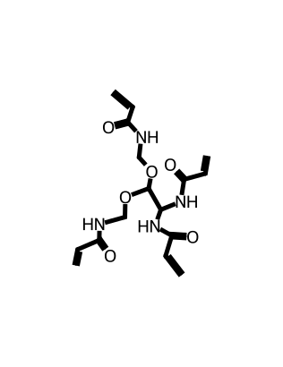 C=CC(=O)NCOC(OCNC(=O)C=C)C(NC(=O)C=C)NC(=O)C=C